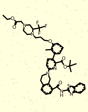 CCOC(=O)CN1CCN(CCCOc2cccc(-c3ccc(N4CCc5cccc(C(=O)Nc6nc7ccccc7s6)c5C4)nc3C(=O)OC(C)(C)C)c2C)C(C(F)(F)F)C1